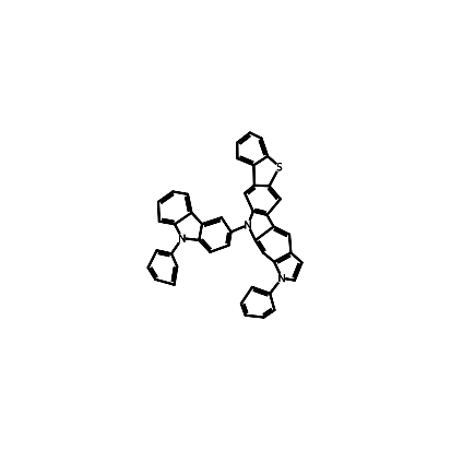 c1ccc(-n2ccc3cc4c5cc6sc7ccccc7c6cc5n(-c5ccc6c(c5)c5ccccc5n6-c5ccccc5)c4cc32)cc1